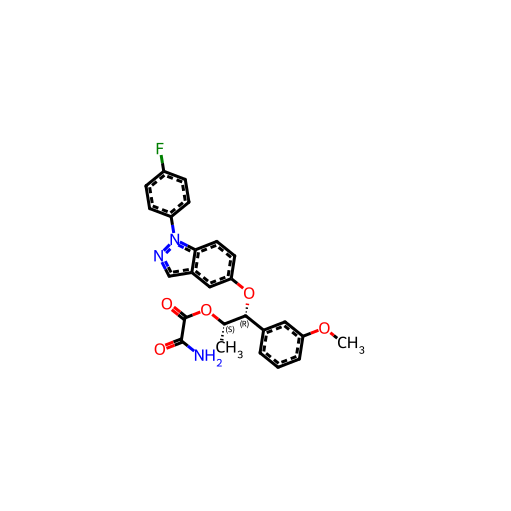 COc1cccc([C@@H](Oc2ccc3c(cnn3-c3ccc(F)cc3)c2)[C@H](C)OC(=O)C(N)=O)c1